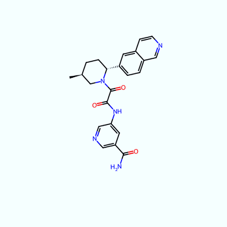 C[C@H]1CC[C@H](c2ccc3cnccc3c2)N(C(=O)C(=O)Nc2cncc(C(N)=O)c2)C1